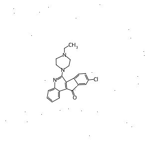 CCN1CCN(c2nc3ccccc3c3c2-c2ccc(Cl)cc2C3=O)CC1